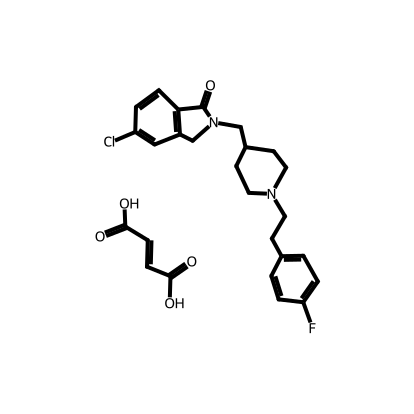 O=C(O)/C=C/C(=O)O.O=C1c2ccc(Cl)cc2CN1CC1CCN(CCc2ccc(F)cc2)CC1